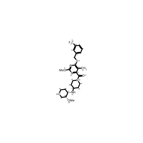 COc1nc(OCc2cccc(C(F)(F)F)c2)c(C)c(C(=O)N2CCC(N[C@H]3CCOC[C@H]3OC)CC2)n1